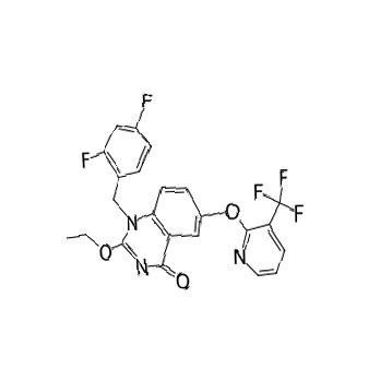 CCOc1nc(=O)c2cc(Oc3ncccc3C(F)(F)F)ccc2n1Cc1ccc(F)cc1F